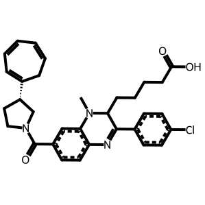 CN1c2cc(C(=O)N3CC[C@H](C4=CC=CC=CC4)C3)ccc2N=C(c2ccc(Cl)cc2)C1CCCCC(=O)O